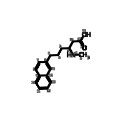 CNC(CCCc1ccc2ccccc2c1)CC(=O)O